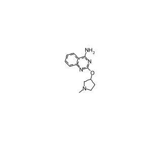 CN1CCC(Oc2nc(N)c3ccccc3n2)C1